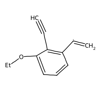 C#Cc1c([C]=C)cccc1OCC